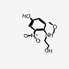 COC.O=[N+]([O-])c1cc(O)ccc1NCCO